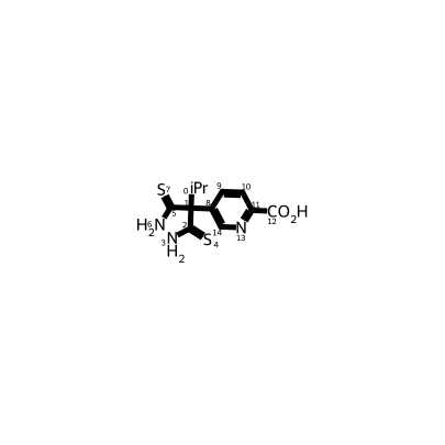 CC(C)C(C(N)=S)(C(N)=S)c1ccc(C(=O)O)nc1